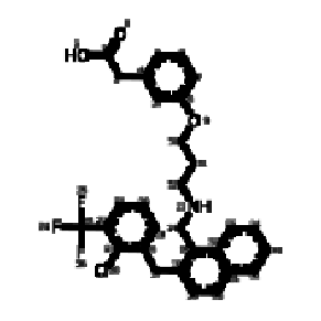 O=C(O)Cc1cccc(OCCCNCc2c(Cc3cccc(C(F)(F)F)c3Cl)ccc3ccccc23)c1